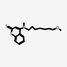 COCCCCCCCN(C)c1cc(=S)sc2ccccc12